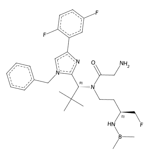 CB(C)N[C@H](CF)CCN(C(=O)CN)[C@@H](c1nc(-c2cc(F)ccc2F)cn1Cc1ccccc1)C(C)(C)C